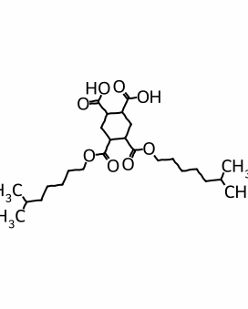 CC(C)CCCCCOC(=O)C1CC(C(=O)O)C(C(=O)O)CC1C(=O)OCCCCCC(C)C